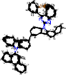 C1=CC2C(C=C1c1ccc3c(c1)c1ccccc1n3-c1cc3ccccc3c3ccccc13)c1ccc3ccccc3c1N2c1nc2c3c(cccc3n1)Sc1ccccc1-2